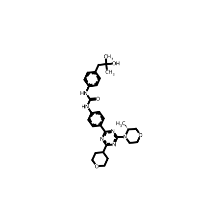 C[C@@H]1COCCN1c1nc(-c2ccc(NC(=O)Nc3ccc(CC(C)(C)O)cc3)cc2)nc(C2CCOCC2)n1